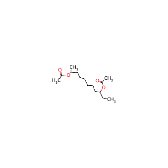 CCC(CCCCCCC(C)OC(C)=O)OC(C)=O